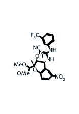 COC(OC)[C@@]1(C)Oc2ccc([N+](=O)[O-])cc2[C@@H](NC(=NC#N)Nc2cccc(C(F)(F)F)c2)[C@@H]1O